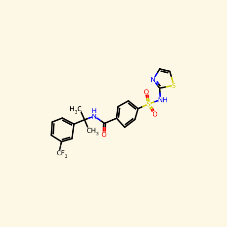 CC(C)(NC(=O)c1ccc(S(=O)(=O)Nc2nccs2)cc1)c1cccc(C(F)(F)F)c1